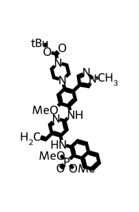 C=Cc1cnc(Nc2cc(-c3cnn(C)c3)c(N3CCN(C(=O)OC(C)(C)C)CC3)cc2OC)cc1Nc1ccc2ccccc2c1P(=O)(OC)OC